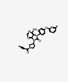 CC#CC(=O)N1CCC(n2c(=O)n(-c3ccc(Oc4cccc(C)n4)cc3)c3c(N)ncnc32)C1